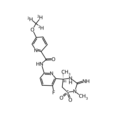 [2H]C([2H])([2H])Oc1ccc(C(=O)Nc2ccc(F)c([C@]3(C)CS(=O)(=O)N(C)C(=N)N3)n2)nc1